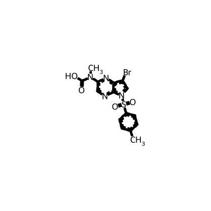 Cc1ccc(S(=O)(=O)n2cc(Br)c3nc(N(C)C(=O)O)cnc32)cc1